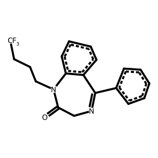 O=C1CN=C(c2ccccc2)c2ccccc2N1CCCC(F)(F)F